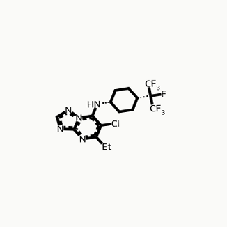 CCc1nc2ncnn2c(N[C@H]2CC[C@@H](C(F)(C(F)(F)F)C(F)(F)F)CC2)c1Cl